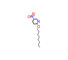 CCCCCCCCOc1ccc([N+](=O)[O-])cn1